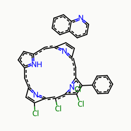 ClC1=Cc2cc3ccc(cc4nc(cc5c(-c6ccccc6)c(Cl)c(c(Cl)c1n2)n5Cl)C=C4)[nH]3.c1ccc2ncccc2c1